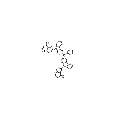 O=c1ccoc2ccc(-n3c4ccccc4c4cc(N(c5ccccc5)c5ccc6c(c5)c5ccccc5n6-c5ccc6occc(=O)c6c5)ccc43)cc12